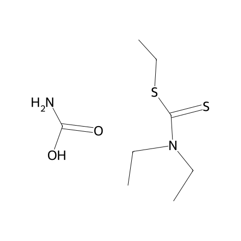 CCSC(=S)N(CC)CC.NC(=O)O